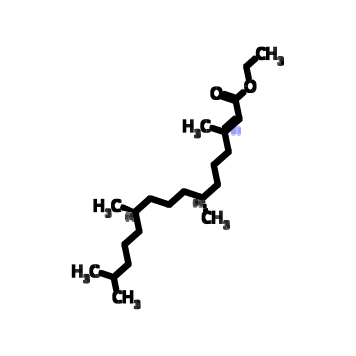 CCOC(=O)/C=C(\C)CCC[C@H](C)CCC[C@H](C)CCCC(C)C